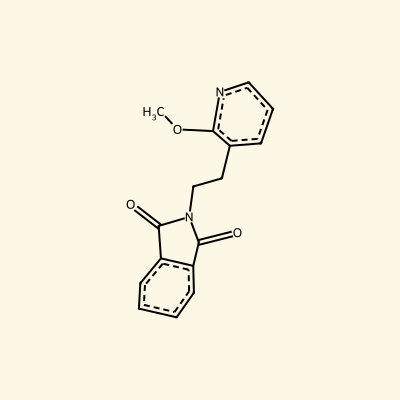 COc1ncccc1CCN1C(=O)c2ccccc2C1=O